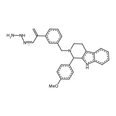 C=C(/C=N\NN)c1cccc(CN2CCc3c([nH]c4ccccc34)C2c2ccc(OC)cc2)c1